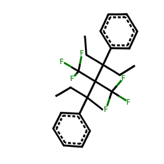 CCC(C)(c1ccccc1)C(C(F)(F)F)(C(F)(F)F)C(CC)(CC)c1ccccc1